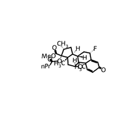 CCCC(=O)O[C@]1(C(=O)OC)[C@H](C)C[C@H]2[C@@H]3C[C@H](F)C4=CC(=O)C=C[C@]4(C)[C@@]34O[C@H]4C[C@@]21C